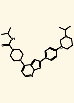 CC(C)NC(=O)N1CCN(c2ccnn3cc(-c4ccc([C@@H]5CCCN(C(C)C)C5)cc4)cc23)CC1